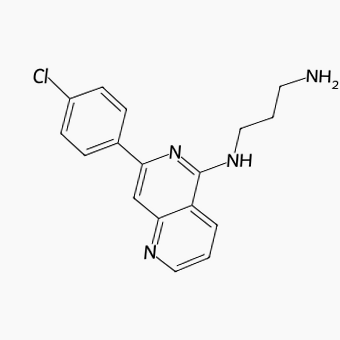 NCCCNc1nc(-c2ccc(Cl)cc2)cc2ncccc12